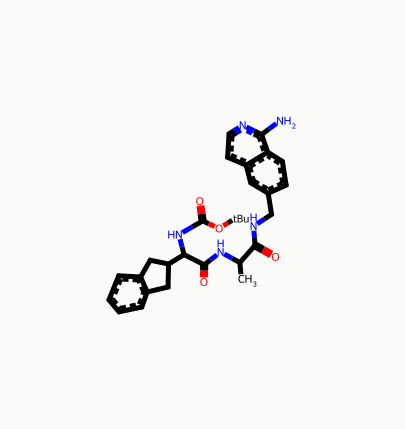 CC(NC(=O)C(NC(=O)OC(C)(C)C)C1Cc2ccccc2C1)C(=O)NCc1ccc2c(N)nccc2c1